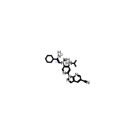 CC(C)Nc1cc(-n2ncc3cc(C#N)cnc32)ncc1N(N)/C=C(\N)C1CCCCC1